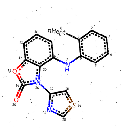 CCCCCCCc1ccccc1Nc1cccc2oc(=O)n(-c3cscn3)c12